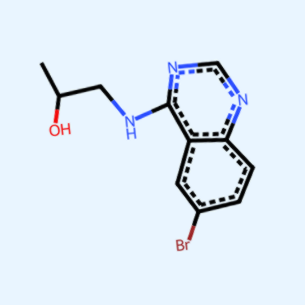 CC(O)CNc1ncnc2ccc(Br)cc12